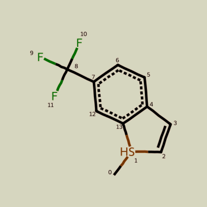 C[SH]1C=Cc2ccc(C(F)(F)F)cc21